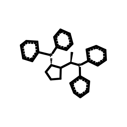 C[C@H](C1CCC[C@@H]1P(c1ccccc1)c1ccccc1)P(c1ccccc1)c1ccccc1